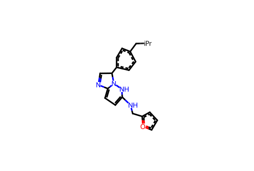 CC(C)Cc1ccc(C2C=NC3=CC=C(NCc4ccco4)NN32)cc1